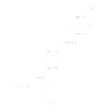 Nc1ccc(NCc2ccc(N(CCO)CCO)cc2)cc1